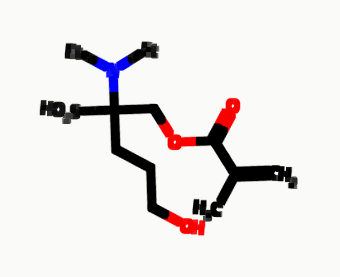 C=C(C)C(=O)OCC(CCCO)(N(CC)CC)S(=O)(=O)O